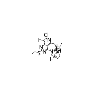 CCSc1nc2c3c(nc(Cl)c(F)c3n1)C[C@@H](CC)[C@H]1[C@@H]3CC[C@@H](C3)CN21